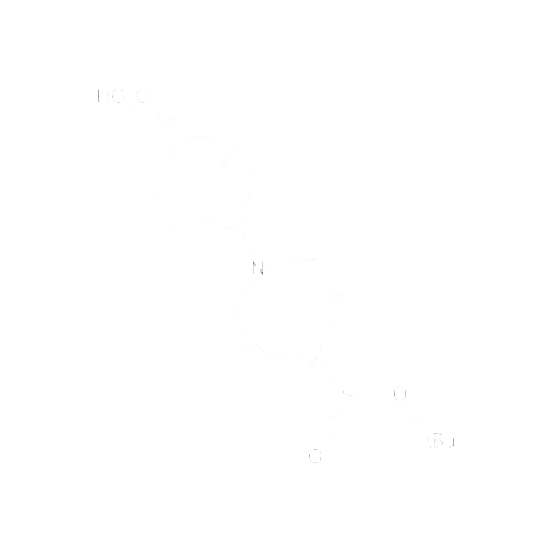 CC(C)(C)OC(=O)C1CCN(c2ccc(C(=O)O)cc2)CC1